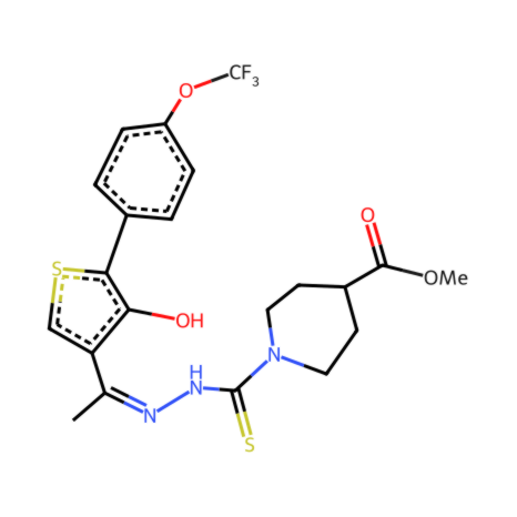 COC(=O)C1CCN(C(=S)NN=C(C)c2csc(-c3ccc(OC(F)(F)F)cc3)c2O)CC1